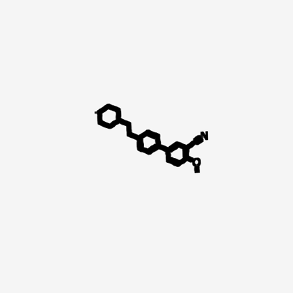 COc1ccc(-c2ccc(CCC3CC[CH]CC3)cc2)cc1C#N